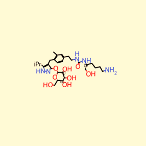 Cc1cc(CCNC(=O)N[C@H](CO)CCCCN)ccc1Cc1c(OC2OC(CO)[C@@H](O)C(O)[C@H]2O)n[nH]c1C(C)C